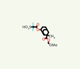 COCOC(=O)C1(C)C=C2CC(CCC2OC(=O)C(F)(F)S(=O)(=O)O)C1